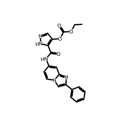 CCOC(=O)Oc1cn[nH]c1C(=O)Nc1ccn2cc(-c3ccccc3)nc2c1